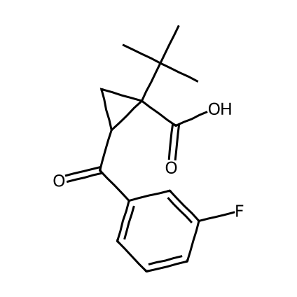 CC(C)(C)C1(C(=O)O)CC1C(=O)c1cccc(F)c1